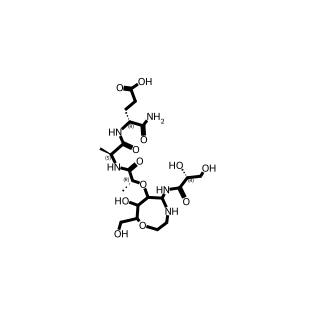 C[C@H](NC(=O)[C@@H](C)OC1C(NC(=O)[C@H](O)CO)NCCOC(CO)C1O)C(=O)N[C@H](CCC(=O)O)C(N)=O